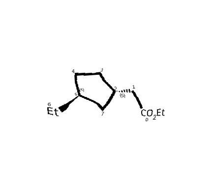 CCOC(=O)C[C@H]1CC[C@H](CC)C1